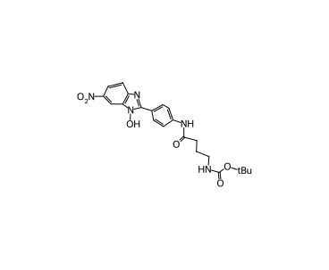 CC(C)(C)OC(=O)NCCCC(=O)Nc1ccc(-c2nc3ccc([N+](=O)[O-])cc3n2O)cc1